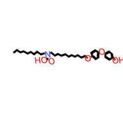 CCCCCCCCCCN(CCCCCCCCCCCOc1ccc(Oc2ccc(O)cc2)cc1)C(=O)O